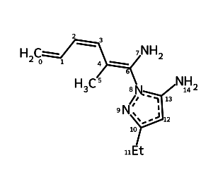 C=C/C=C\C(C)=C(/N)n1nc(CC)cc1N